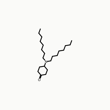 CCCCCCCCN(CCCCCCCC)C1CCC(=O)CC1